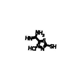 Cl.N=C(N)c1nnc(S)s1